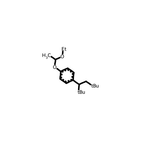 CCOC(C)Oc1ccc(C(CC(C)(C)C)C(C)(C)C)cc1